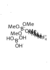 CO[B-](OC)(OC)OC.N.N.N.OB(O)O.[NH4+]